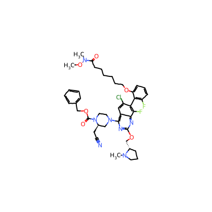 CON(C)C(=O)CCCCCCOc1cccc(F)c1-c1c(Cl)cc2c(N3CCN(C(=O)OCc4ccccc4)[C@H](CC#N)C3)nc(OC[C@@H]3CCCN3C)nc2c1F